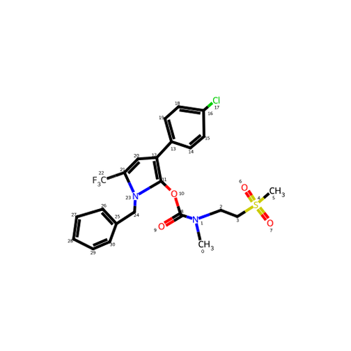 CN(CCS(C)(=O)=O)C(=O)Oc1c(-c2ccc(Cl)cc2)cc(C(F)(F)F)n1Cc1ccccc1